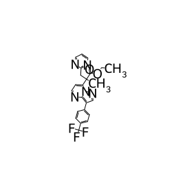 CCOC(=O)C(C)(Cc1ncccn1)c1ccnc2c(-c3ccc(C(F)(F)F)cc3)cnn12